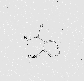 CCN(C)c1ccccc1NC